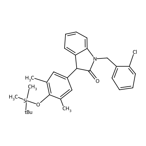 Cc1cc(C2C(=O)N(Cc3ccccc3Cl)c3ccccc32)cc(C)c1O[Si](C)(C)C(C)(C)C